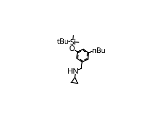 CCCCc1cc(CNC2CC2)cc(O[Si](C)(C)C(C)(C)C)c1